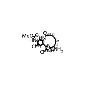 COC(=O)Nc1cc2c(cc1Cl)-c1nc([nH]c1Cl)[C@@H](N)CCCCCC(=O)N2